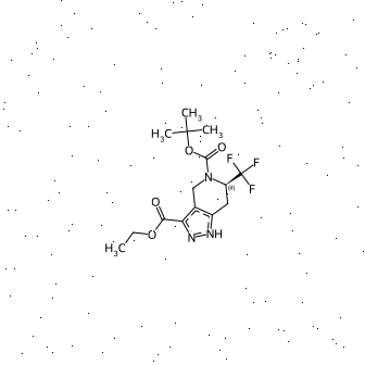 CCOC(=O)c1n[nH]c2c1CN(C(=O)OC(C)(C)C)[C@@H](C(F)(F)F)C2